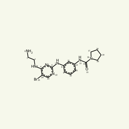 NCCNc1nc(Nc2cccc(NC(=O)N3CCCC3)c2)ncc1Br